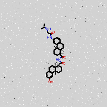 CC(C)NCC(=O)Nc1ccc2c(c1)[C@@]1(C)CCC[C@](C)(C(=O)NC(=O)[C@@]3(C)CCC[C@]4(C)c5cc(O)ccc5CC[C@@H]34)[C@]1(C)CC2